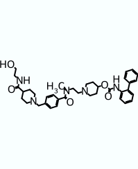 CN(CCN1CCC(OC(=O)Nc2ccccc2-c2ccccc2)CC1)C(=O)c1ccc(CN2CCC(C(=O)NCCO)CC2)cc1